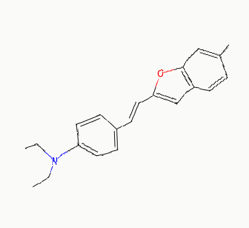 CCN(CC)c1ccc(/C=C/c2cc3ccc(C)cc3o2)cc1